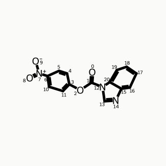 O=C(Oc1ccc([N+](=O)[O-])cc1)n1cnc2ccccc21